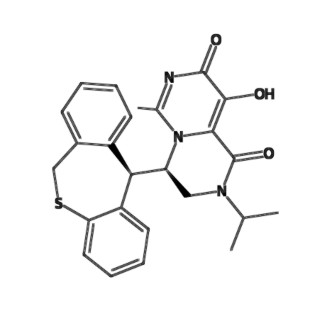 Cc1nc(=O)c(O)c2n1[C@H]([C@@H]1c3ccccc3CSc3ccccc31)CN(C(C)C)C2=O